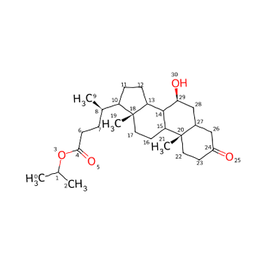 CC(C)OC(=O)CC[C@@H](C)C1CCC2C3C(CC[C@@]21C)[C@@]1(C)CCC(=O)CC1C[C@@H]3O